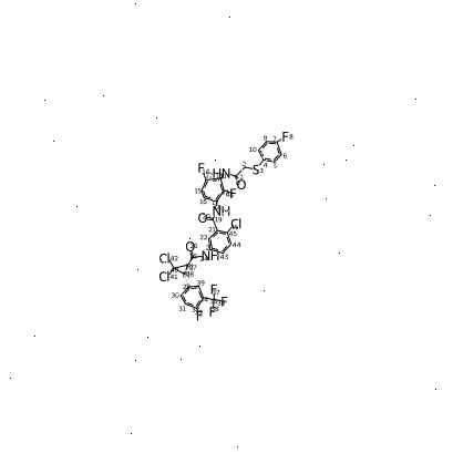 O=C(CSc1ccc(F)cc1)Nc1c(F)ccc(NC(=O)c2cc(NC(=O)[C@H]3[C@H](c4ccc(F)c(C(F)(F)F)c4)C3(Cl)Cl)ccc2Cl)c1F